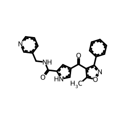 Cc1onc(-c2ccccc2)c1C(=O)c1c[nH]c(C(=O)NCc2cccnc2)c1